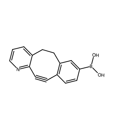 OB(O)c1ccc2c(c1)CCc1cccnc1C#C2